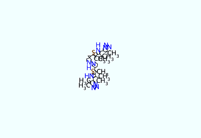 Cc1c(-c2[nH]c3sc(C4CCCN(C5CC6(CCN5)CC6c5sc6[nH]c(-c7cc(C)c8ncnn8c7)c(C(C)C)c6c5C)C4)c(C)c3c2C(C)C)cn2ncnc2c1C